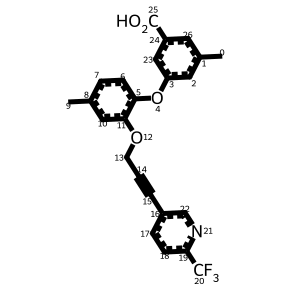 Cc1cc(Oc2ccc(C)cc2OCC#Cc2ccc(C(F)(F)F)nc2)cc(C(=O)O)c1